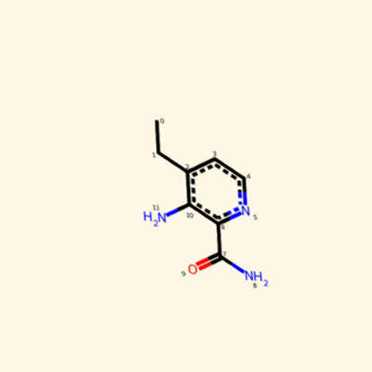 CCc1ccnc(C(N)=O)c1N